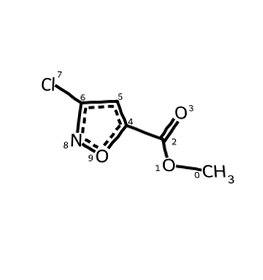 COC(=O)c1cc(Cl)no1